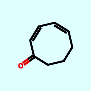 O=C1/C=C\C=C/CCC1